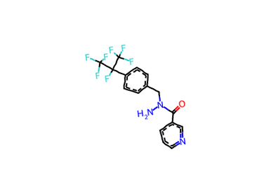 NN(Cc1ccc(C(F)(C(F)(F)F)C(F)(F)F)cc1)C(=O)c1cccnc1